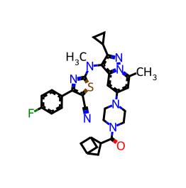 Cc1cc(N2CCN(C(=O)C3CC4CC3C4)CC2)cc2c(N(C)c3nc(-c4ccc(F)cc4)c(C#N)s3)c(C3CC3)nn12